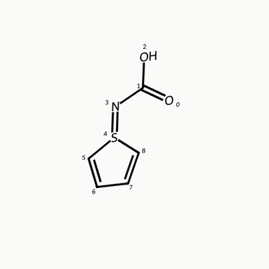 O=C(O)N=S1C=CC=C1